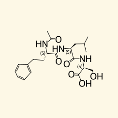 CC(=O)N[C@@H](CCc1ccccc1)C(=O)N[C@@H](CC(C)C)C(=O)N[C@@H](CO)C(=O)O